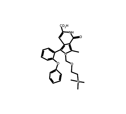 Cc1c2c(=O)[nH]c(C(=O)O)cc2c(-c2ccccc2Oc2ccccc2)n1COCC[Si](C)(C)C